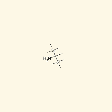 [CH2]C(N)([Si](C)(C)C)[Si](C)(C)C